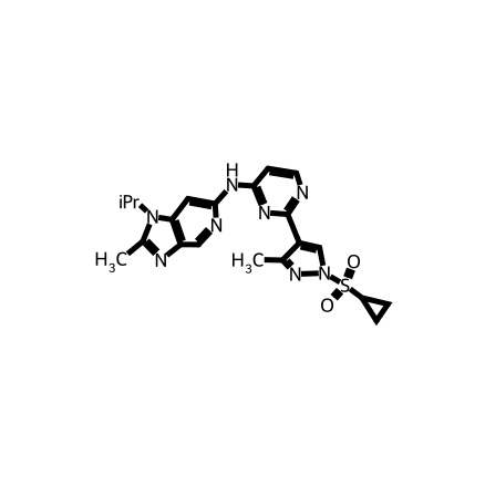 Cc1nn(S(=O)(=O)C2CC2)cc1-c1nccc(Nc2cc3c(cn2)nc(C)n3C(C)C)n1